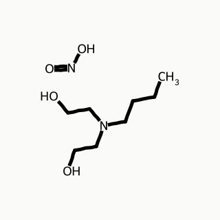 CCCCN(CCO)CCO.O=NO